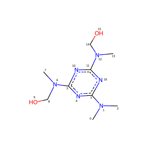 CN(C)c1nc(N(C)CO)nc(N(C)CO)n1